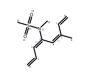 C=C/C=C(\C=C(\C)C=C)N(C)S(C)(=O)=O